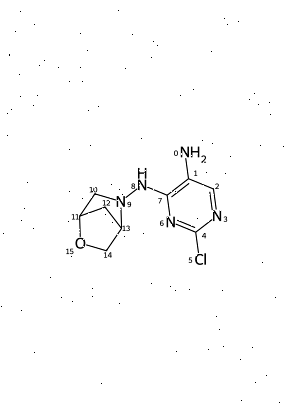 Nc1cnc(Cl)nc1NN1CC2CC1CO2